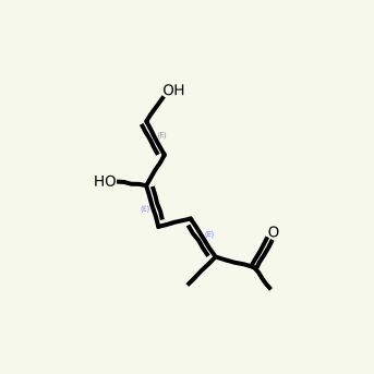 CC(=O)/C(C)=C/C=C(O)\C=C\O